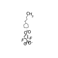 CCCCC[C@H]1CC[C@H](C(=O)Oc2cc(F)c([N+](=O)[O-])c(F)c2)CC1